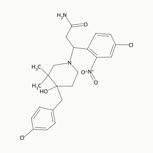 CC1(C)CN(C(CC(N)=O)c2ccc(Cl)cc2[N+](=O)[O-])CCC1(O)Cc1ccc(Cl)cc1